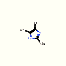 CCCc1[nH]c(C(C)(C)C)nc1CC